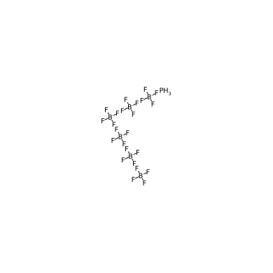 F[B-](F)(F)F.F[B-](F)(F)F.F[B-](F)(F)F.F[B-](F)(F)F.F[B-](F)(F)F.F[B-](F)(F)F.P